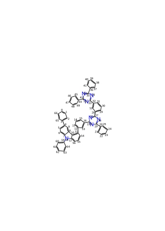 c1ccc(-c2ccc3c(c2)c2c(-c4cccc(-c5nc(-c6ccccc6)nc(-c6cccc(-c7nc(-c8ccccc8)nc(-c8ccccc8)n7)c6)n5)c4)cccc2n3-c2ccccc2)cc1